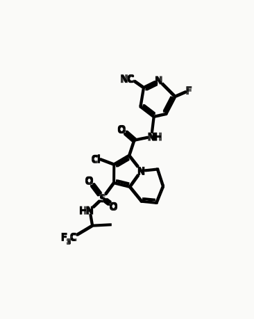 CC(NS(=O)(=O)c1c(Cl)c(C(=O)Nc2cc(F)nc(C#N)c2)n2c1C=CCC2)C(F)(F)F